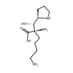 BCCCC[C@](N)(C(=O)O)[C@H](O)[C@H]1CCCN1